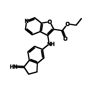 CCOC(=O)c1oc2cnccc2c1Nc1ccc2c(c1)CCC2=N